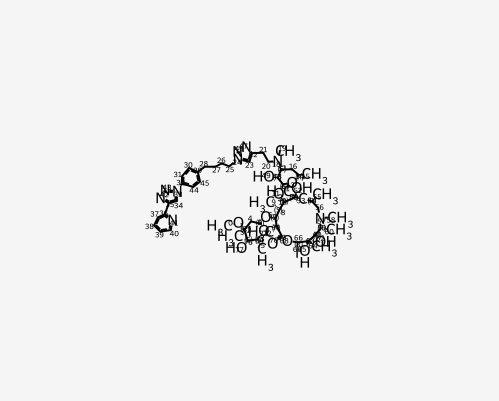 CO[C@]1(C)C[C@H](O[C@H]2[C@H](C)[C@@H](O[C@@H]3O[C@H](C)C[C@H](N(C)CCc4cn(CCCCc5ccc(-n6cc(-c7ccccn7)nn6)cc5)nn4)[C@H]3O)[C@](C)(O)C[C@@H](C)CN(C)[C@H](C)[C@@H](O)[C@](C)(O)[C@@H](I)OC(=O)[C@@H]2C)O[C@@H](C)[C@@H]1O